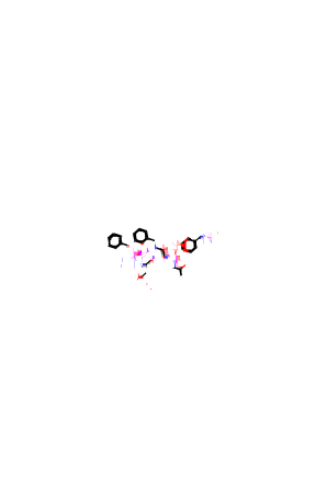 CC(C)CN(C[C@H](O)[C@H](Cc1ccccc1)NC(=O)[C@H](CC(=O)O)NC(=O)OCc1ccccc1)S(=O)(=O)c1ccc(C=NO)cc1